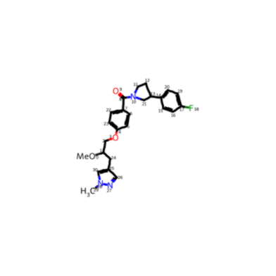 COC(COc1ccc(C(=O)N2CCC(c3ccc(F)cc3)C2)cc1)Cc1cnn(C)c1